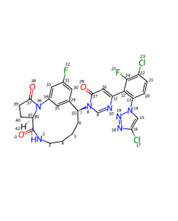 O=C1NCCCC[C@H](n2cnc(-c3c(-n4cc(Cl)nn4)ccc(Cl)c3F)cc2=O)c2cc(F)cc(c2)N2C(=O)CC[C@H]12